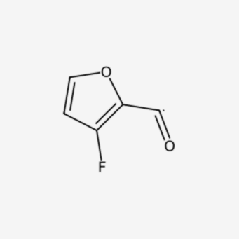 O=[C]c1occc1F